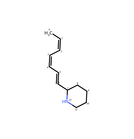 C\C=C/C=C\C=C\C1CCCCN1